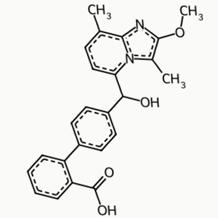 COc1nc2c(C)ccc(C(O)c3ccc(-c4ccccc4C(=O)O)cc3)n2c1C